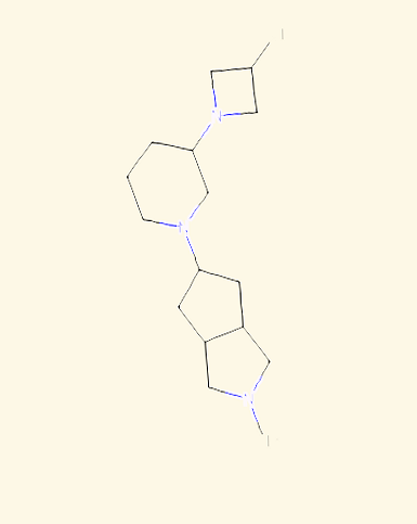 CC1CN(C2CCCN(C3CC4CN(C(C)C)CC4C3)C2)C1